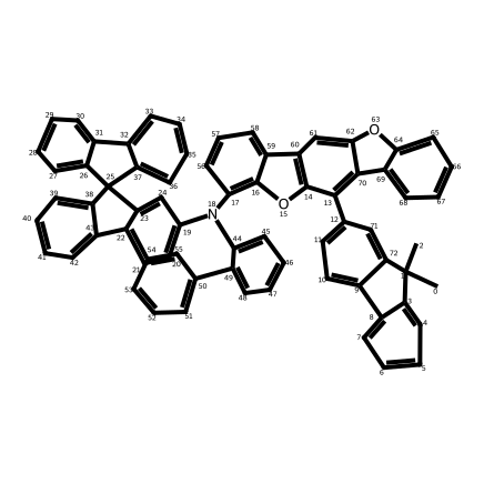 CC1(C)c2ccccc2-c2ccc(-c3c4oc5c(N(c6ccc7c(c6)C6(c8ccccc8-c8ccccc86)c6ccccc6-7)c6ccccc6-c6ccccc6)cccc5c4cc4oc5ccccc5c34)cc21